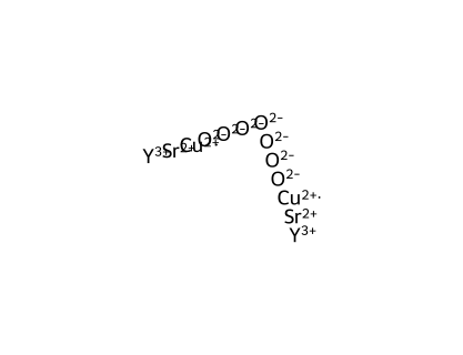 [Cu+2].[Cu+2].[O-2].[O-2].[O-2].[O-2].[O-2].[O-2].[O-2].[Sr+2].[Sr+2].[Y+3].[Y+3]